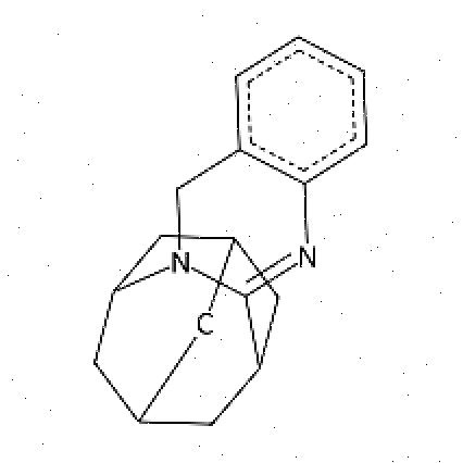 c1ccc2c(c1)CN1C(=N2)C2CC3CC(C2)CC1C3